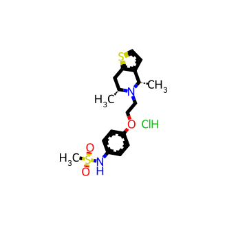 C[C@@H]1Cc2sccc2[C@H](C)N1CCOc1ccc(NS(C)(=O)=O)cc1.Cl